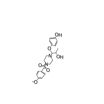 COc1ccc(S(=O)(=O)N2CCN(C(Oc3ccc(O)cc3)C(C)O)CC2)cc1